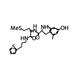 CSCC[C@@H](NC(=O)C(N)Cc1c(C)cc(O)cc1C)C(=O)NCCCc1cccs1